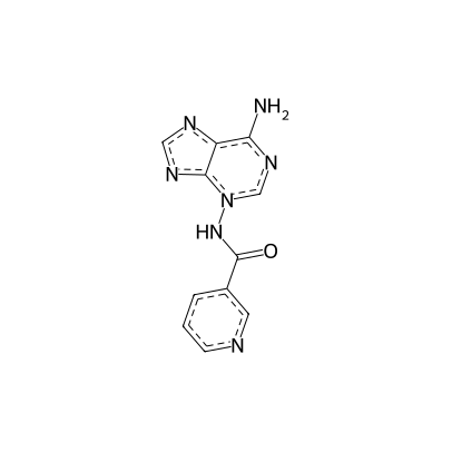 Nc1ncn(NC(=O)c2cccnc2)c2ncnc1-2